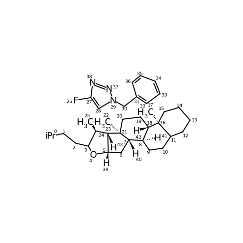 CC(C)CCC1O[C@H]2C[C@H]3[C@@H]4CCC5CCCC[C@]5(C)[C@H]4CC[C@]3(C)[C@H]2[C@@H]1C.Fc1cn(Cc2ccccc2)nn1